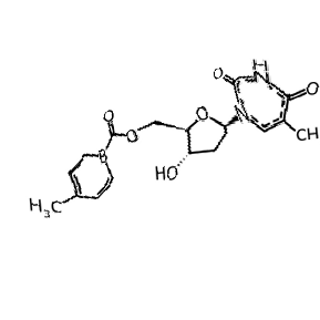 CC1=CCB(C(=O)OC[C@H]2O[C@@H](n3cc(C)c(=O)[nH]c3=O)C[C@@H]2O)C=C1